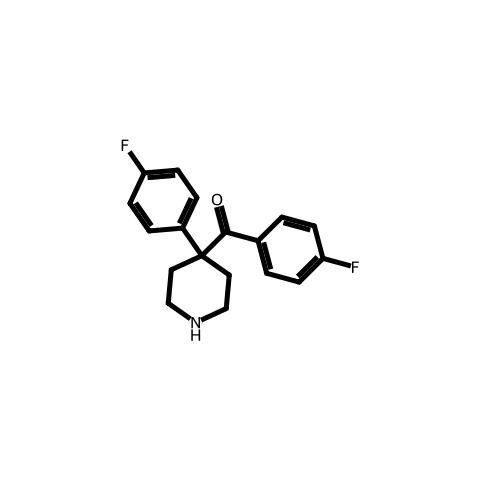 O=C(c1ccc(F)cc1)C1(c2ccc(F)cc2)CCNCC1